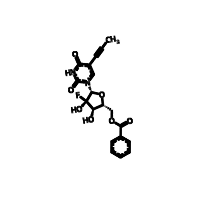 CC#Cc1cn([C@@H]2O[C@H](COC(=O)c3ccccc3)[C@@H](O)[C@]2(O)F)c(=O)[nH]c1=O